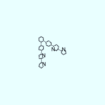 c1ccc(-c2ccc(-c3ccc(-c4ccccc4-c4ccc(-c5ccc(-c6ccccn6)cn5)cc4)cc3)nc2)nc1